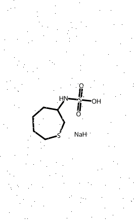 O=S(=O)(O)NC1CCCCSC1.[NaH]